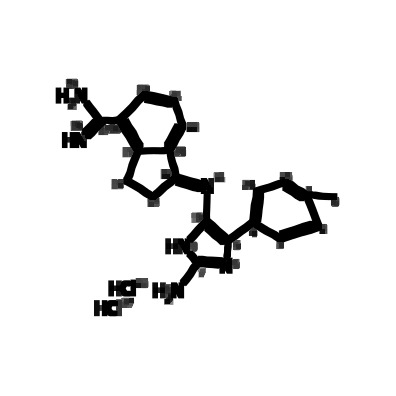 Cc1ccc(-c2nc(N)[nH]c2N=C2CCc3c(C(=N)N)cccc32)cc1.Cl.Cl